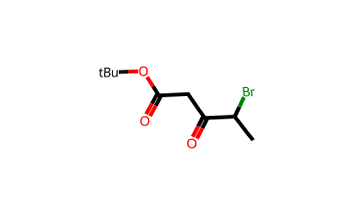 CC(Br)C(=O)CC(=O)OC(C)(C)C